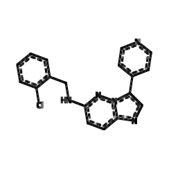 Clc1ccccc1CNc1ccc2ncc(-c3ccncc3)n2n1